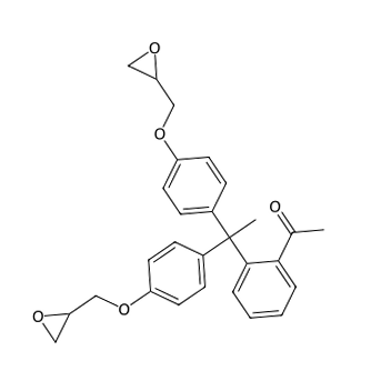 CC(=O)c1ccccc1C(C)(c1ccc(OCC2CO2)cc1)c1ccc(OCC2CO2)cc1